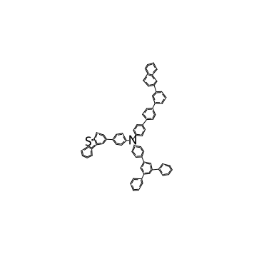 c1ccc(-c2cc(-c3ccccc3)cc(-c3ccc(N(c4ccc(-c5ccc(-c6cccc(-c7ccc8ccccc8c7)c6)cc5)cc4)c4ccc(-c5ccc6sc7ccccc7c6c5)cc4)cc3)c2)cc1